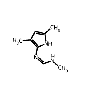 CN/C=N\c1[nH]c(C)cc1C